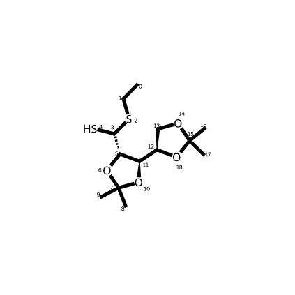 CCSC(S)[C@H]1OC(C)(C)O[C@@H]1[C@H]1COC(C)(C)O1